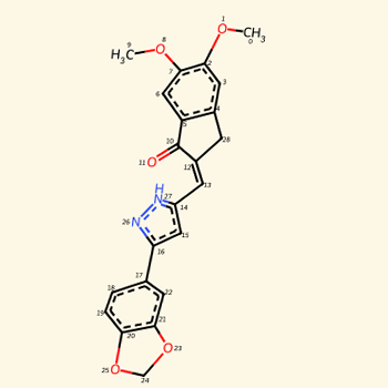 COc1cc2c(cc1OC)C(=O)C(=Cc1cc(-c3ccc4c(c3)OCO4)n[nH]1)C2